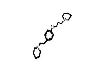 c1cc(OCCCN2CCCCC2)ccc1CCN1CCCCC1